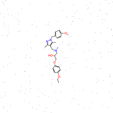 CCOc1ccc(OCC(O)CN(C)Cc2c(C)nn(Cc3ccc(OC)cc3)c2C)cc1